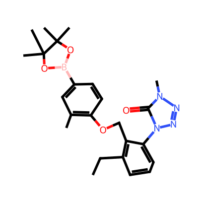 CCc1cccc(-n2nnn(C)c2=O)c1COc1ccc(B2OC(C)(C)C(C)(C)O2)cc1C